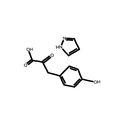 O=C(O)C(=O)Cc1ccc(O)cc1.c1cn[nH]c1